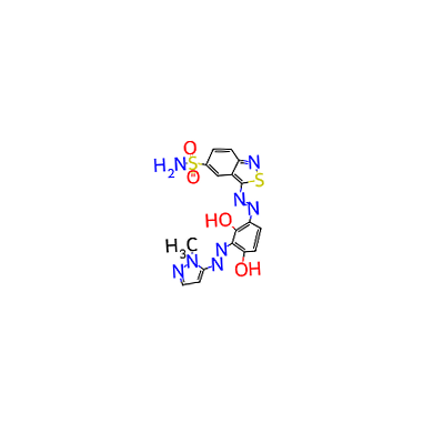 Cn1nccc1/N=N/c1c(O)ccc(/N=N/c2snc3ccc(S(N)(=O)=O)cc23)c1O